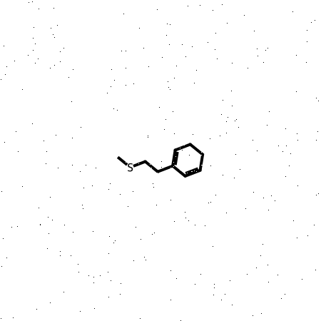 CSCCC1=CCCC=C1